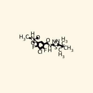 CCNS(=O)(=O)c1cc(C(=O)Nc2nnc(C(C)(C)C)s2)c(F)c(Cl)c1F